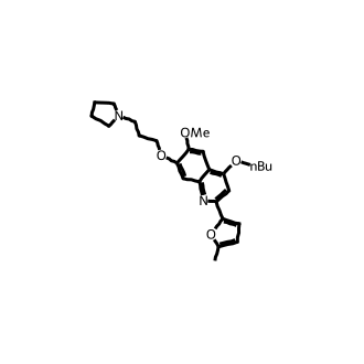 CCCCOc1cc(-c2ccc(C)o2)nc2cc(OCCCN3CCCC3)c(OC)cc12